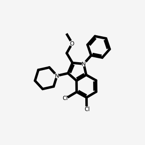 COCc1c(N2CCCCC2)c2c(Cl)c(Cl)ccc2n1-c1ccccc1